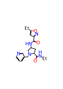 CCNC(=O)C1CC(NC(=O)c2cc(CC)on2)CN1Cc1cccnc1